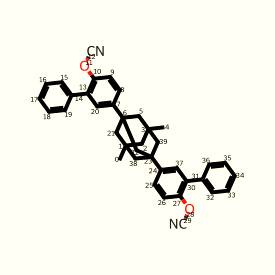 CC12CC3(C)CC(c4ccc(OC#N)c(-c5ccccc5)c4)(C1)CC(c1ccc(OC#N)c(-c4ccccc4)c1)(C2)C3